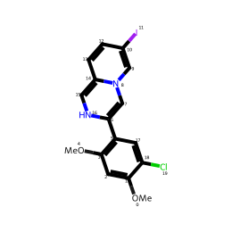 COc1cc(OC)c(C2=CN3C=C(I)C=CC3=CN2)cc1Cl